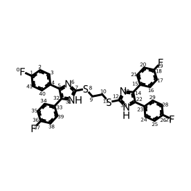 Fc1ccc(-c2nc(SCCSc3nc(-c4ccc(F)cc4)c(-c4ccc(F)cc4)[nH]3)[nH]c2-c2ccc(F)cc2)cc1